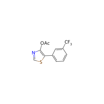 CC(=O)Oc1ncsc1-c1cccc(C(F)(F)F)c1